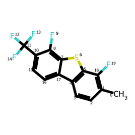 Cc1ccc2c(sc3c(F)c(C(F)(F)F)ccc32)c1F